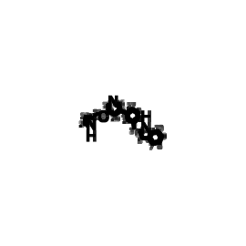 c1cc(C[C@H]2Cc3ccccc3N2)cc(-c2cncc(OC[C@@H]3CCN3)c2)c1